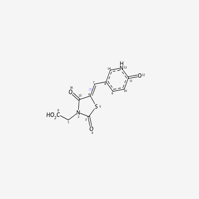 O=C(O)CN1C(=O)S/C(=C\c2ccc(=O)[nH]c2)C1=O